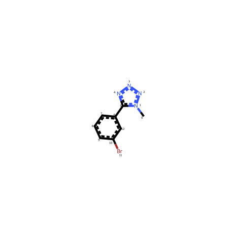 Cn1nnnc1-c1cccc(Br)c1